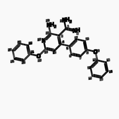 N=C(N)c1c(-c2ccc(Oc3ccccc3)cc2)cc(Oc2ccccc2)nc1N